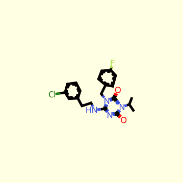 CC(C)n1c(=O)nc(NCCc2cccc(Cl)c2)n(Cc2ccc(F)cc2)c1=O